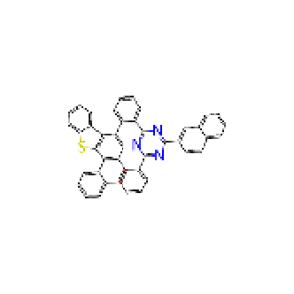 c1ccc(-c2nc(-c3ccc4ccccc4c3)nc(-c3ccccc3-c3cc4ccc5ccccc5c4c4sc5ccccc5c34)n2)cc1